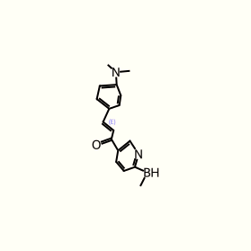 CBc1ccc(C(=O)/C=C/c2ccc(N(C)C)cc2)cn1